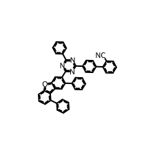 N#Cc1ccccc1-c1ccc(-c2nc(-c3ccccc3)nc(-c3cc4oc5cccc(-c6ccccc6)c5c4cc3-c3ccccc3)n2)cc1